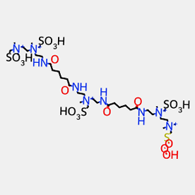 C[N+](C)(CC[N+](C)(CCNC(=O)CCCCC(=O)NCC[N+](C)(CCNC(=O)CCCCC(=O)NCC[N+](C)(CC[N+](C)(C)CS(=O)(=O)O)CS(=O)(=O)O)CS(=O)(=O)O)CS(=O)(=O)O)CSOOO